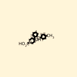 Cc1ccc(Oc2ccccc2C2(O)CCN(C(=O)O)CC2)cc1